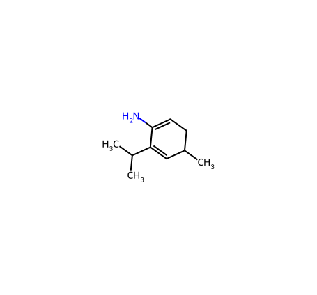 CC1C=C(C(C)C)C(N)=CC1